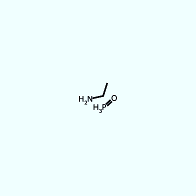 CCN.O=[PH3]